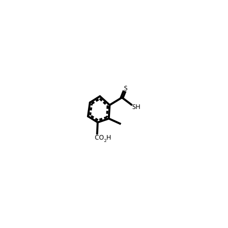 Cc1c(C(=O)O)cccc1C(=S)S